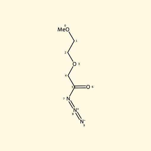 COCCOCC(=O)N=[N+]=[N-]